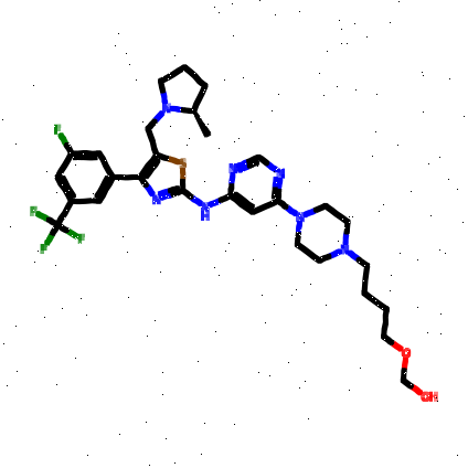 C[C@@H]1CCCN1Cc1sc(Nc2cc(N3CCN(CCCCOCO)CC3)ncn2)nc1-c1cc(F)cc(C(F)(F)F)c1